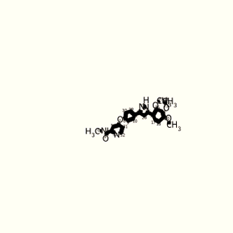 CNC(=O)c1cc(Oc2ccc(C3=NNC(c4ccc(OC)c(OC)c4OC)C3)cc2)ccn1